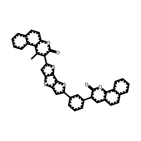 Cc1c(-c2cc3sc4cc(-c5cccc(-c6cc7ccc8ccccc8c7oc6=O)c5)sc4c3s2)c(=O)oc2ccc3ccccc3c12